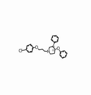 Clc1ccc(OCCCN2CC[C@H](Oc3ccccc3)[C@H](c3ccccc3)C2)cc1